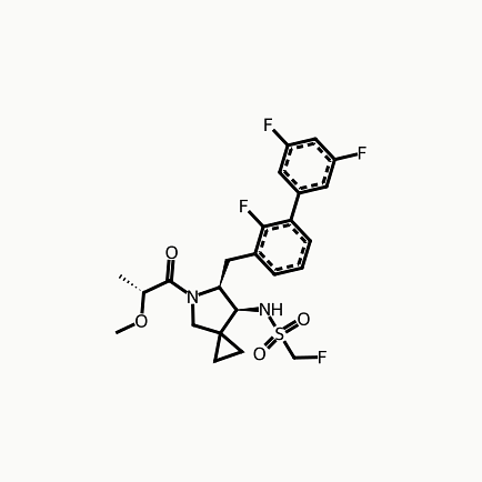 CO[C@H](C)C(=O)N1CC2(CC2)[C@H](NS(=O)(=O)CF)[C@@H]1Cc1cccc(-c2cc(F)cc(F)c2)c1F